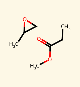 CC1CO1.CCC(=O)OC